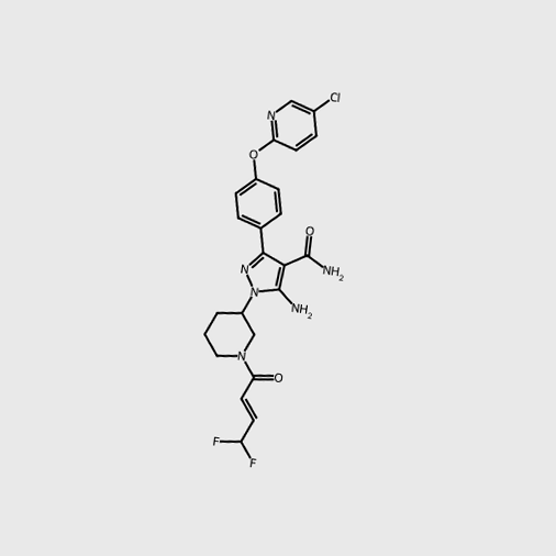 NC(=O)c1c(-c2ccc(Oc3ccc(Cl)cn3)cc2)nn(C2CCCN(C(=O)/C=C/C(F)F)C2)c1N